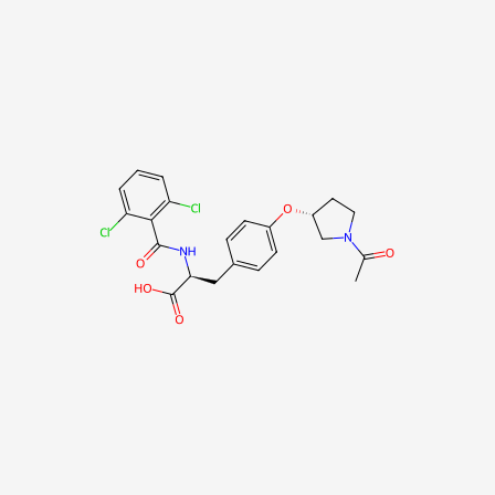 CC(=O)N1CC[C@@H](Oc2ccc(C[C@H](NC(=O)c3c(Cl)cccc3Cl)C(=O)O)cc2)C1